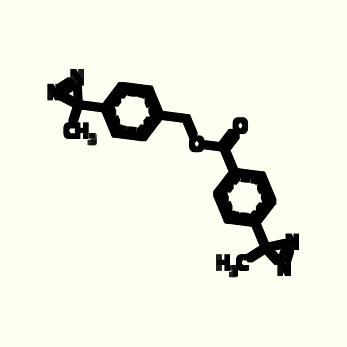 CC1(c2ccc(COC(=O)c3ccc(C4(C)N=N4)cc3)cc2)N=N1